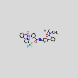 CN(C)C(=O)c1ccccc1-c1ccc(CNC(=O)c2cccc(NC(=O)c3ccccc3-c3ccc(C(F)(F)F)cc3)c2)cc1